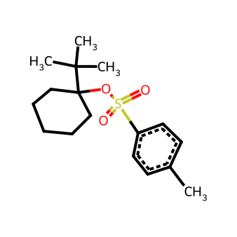 Cc1ccc(S(=O)(=O)OC2(C(C)(C)C)CCCCC2)cc1